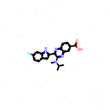 CC(C)N(C)c1nc2cc(C(=O)O)ccc2nc1-c1cc2ccc(F)cc2[nH]1